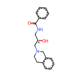 O=C(NC[C@@H](O)CN1CCc2ccccc2C1)c1ccccc1